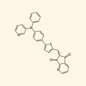 O=C1/C(=C/c2ccc(-c3ccc(N(c4ccccc4)c4cccnc4)cc3)s2)C(=O)c2ncccc21